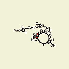 CSC1CC(=O)C(CCOCCOCCN2C(=O)CC(SCCC(=O)N(C)[C@@H](C)C(=O)O[C@H]3CC(=O)N(C)c4cc(cc(CO)c4Cl)C/C(C)=C/C=C/[C@@H](CO)[C@@]4(O)C[C@H](OC(=O)N4)[C@@H](C)[C@@H]4O[C@@]34C)C2=O)C1=O